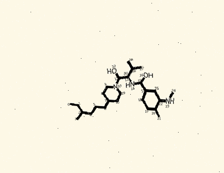 CCC(C)CCCC1CCN(C(O)[C@H](NC(O)C2CCC(C)C(NC)C2)C(C)C)CC1